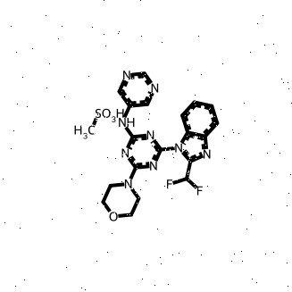 CS(=O)(=O)O.FC(F)c1nc2ccccc2n1-c1nc(Nc2cncnc2)nc(N2CCOCC2)n1